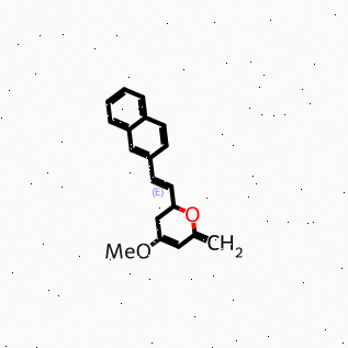 C=C1C=C(OC)CC(/C=C/c2ccc3ccccc3c2)O1